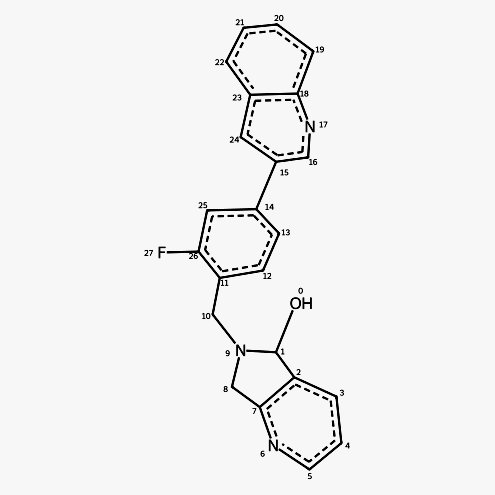 OC1c2cccnc2CN1Cc1ccc(-c2cnc3ccccc3c2)cc1F